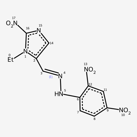 CCn1c(/C=N/Nc2ccc([N+](=O)[O-])cc2[N+](=O)[O-])cnc1[N+](=O)[O-]